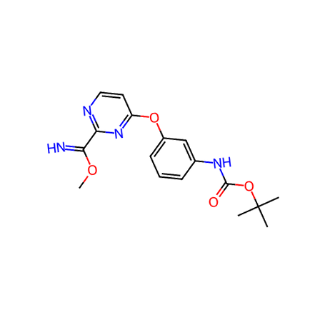 COC(=N)c1nccc(Oc2cccc(NC(=O)OC(C)(C)C)c2)n1